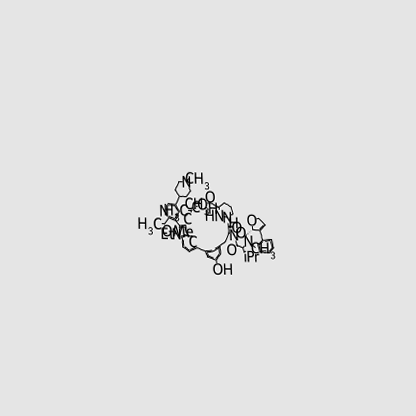 CCn1c(-c2cc(C3CCN(C)CC3)cnc2[C@H](C)OC)c2c3cc(ccc31)-c1cc(O)cc(c1)C[C@H](NC(=O)C(C(C)C)N(C)C(=O)[C@@H]1OCC=C1c1ccccc1)C(=O)N1CCC[C@H](N1)C(=O)OCC(C)(C)C2